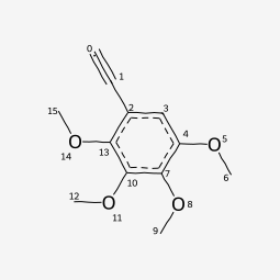 [C]#Cc1cc(OC)c(OC)c(OC)c1OC